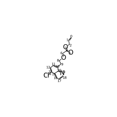 C=CCOC(=O)COCCc1ccc(Cl)c2cccnc12